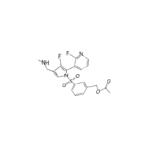 CNCc1cn(S(=O)(=O)c2cccc(COC(C)=O)c2)c(-c2cccnc2F)c1F